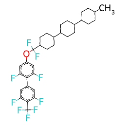 CC1CCC(C2CCC(C3CCC(C(F)(F)Oc4cc(F)c(-c5cc(F)c(C(F)(F)F)c(F)c5)c(F)c4)CC3)CC2)CC1